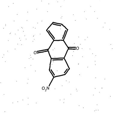 O=C1c2c[c]ccc2C(=O)c2cc([N+](=O)[O-])ccc21